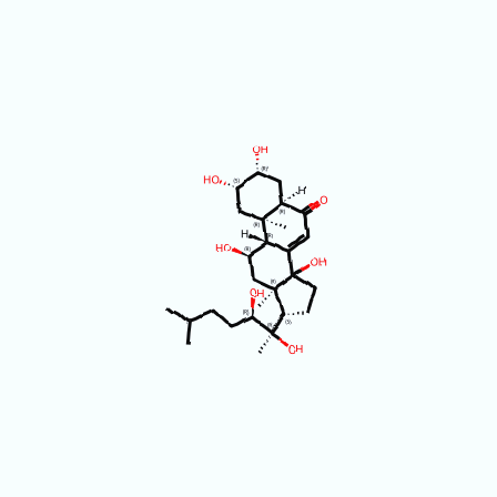 CC(C)CC[C@@H](O)[C@](C)(O)[C@H]1CCC2(O)C3=CC(=O)[C@@H]4C[C@@H](O)[C@@H](O)C[C@]4(C)[C@H]3[C@H](O)C[C@]12C